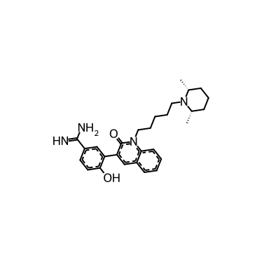 C[C@@H]1CCC[C@H](C)N1CCCCCn1c(=O)c(-c2cc(C(=N)N)ccc2O)cc2ccccc21